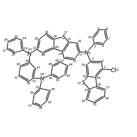 Clc1cc(N(c2ccccc2)c2ccc3c(c2)sc2ccc(N(c4ccccc4)c4cccc(N(c5ccccc5)c5ccccc5)c4)cc23)cc2sc3ccccc3c12